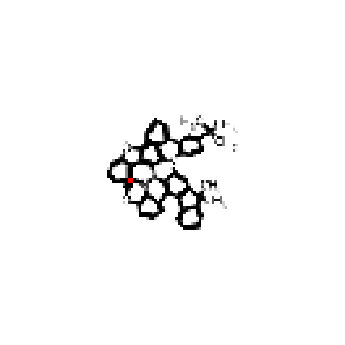 CC(C)(C)c1ccc(N2c3cc4c(c5c3B(c3c2ccc2oc6ccccc6c32)N2c3ccccc3Oc3cccc-5c32)-c2ccccc2C4(C)C)c(-c2ccccc2)c1